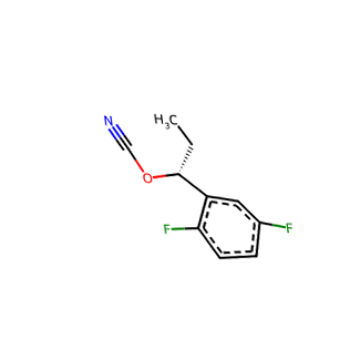 CC[C@@H](OC#N)c1cc(F)ccc1F